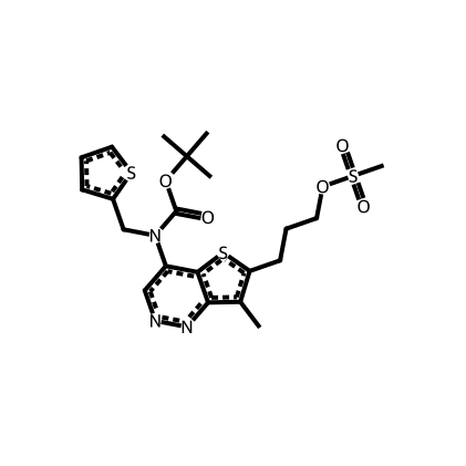 Cc1c(CCCOS(C)(=O)=O)sc2c(N(Cc3cccs3)C(=O)OC(C)(C)C)cnnc12